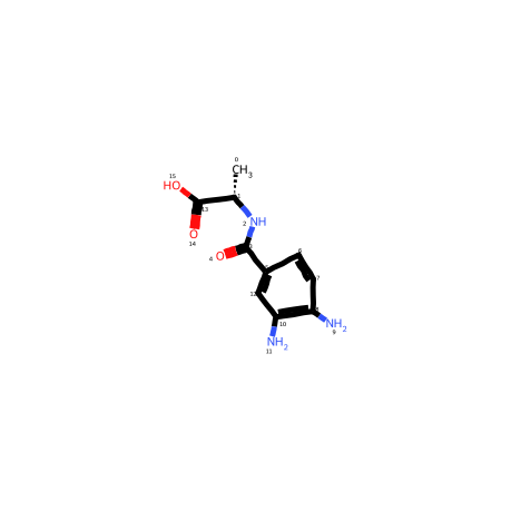 C[C@H](NC(=O)c1ccc(N)c(N)c1)C(=O)O